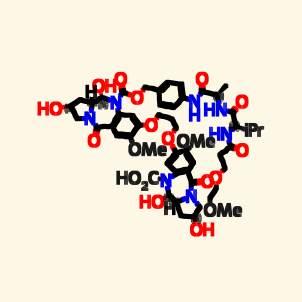 COCCOCCC(=O)N[C@@H](C(=O)N[C@H](C)C(=O)Nc1ccc(COC(=O)N2c3cc(OCCCOc4cc5c(cc4OC)C(=O)N4C[C@@H](O)C[C@H]4[C@H](O)N5C(=O)O)c(OC)cc3C(=O)N3C[C@@H](O)C[C@H]3[C@@H]2O)cc1)C(C)C